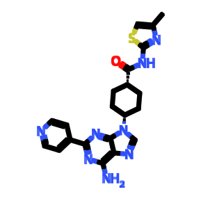 Cc1csc(NC(=O)[C@H]2CC[C@@H](n3cnc4c(N)nc(-c5ccncc5)nc43)CC2)n1